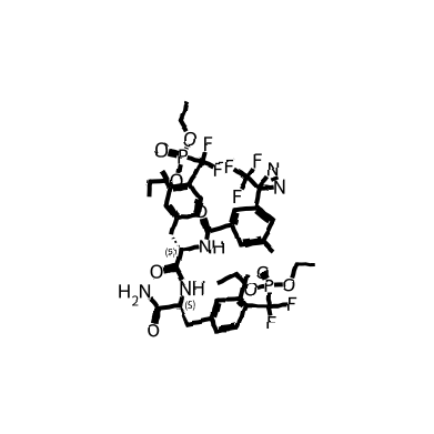 CCOP(=O)(OCC)C(F)(F)c1ccc(C[C@H](NC(=O)[C@H](Cc2ccc(C(F)(F)P(=O)(OCC)OCC)c(C)c2)NC(=O)c2cc(C)cc(C3(C(F)(F)F)N=N3)c2)C(N)=O)cc1C